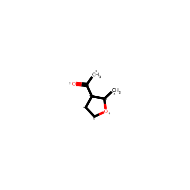 CC(=O)C1CCOC1C